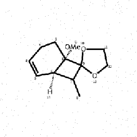 CO[C@@]12CCC=C[C@@H]1C(C)C21OCCO1